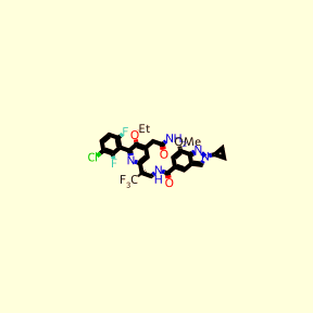 CCOc1c(CC(N)=O)cc([C@@H](CNC(=O)c2cc(OC)c3nn(C4CC4)cc3c2)C(F)(F)F)nc1-c1c(F)ccc(Cl)c1F